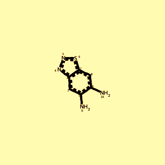 Nc1cc2nnsc2cc1N